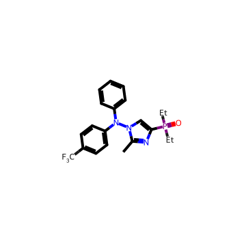 CCP(=O)(CC)c1cn(N(c2ccccc2)c2ccc(C(F)(F)F)cc2)c(C)n1